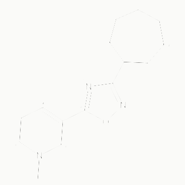 CN1CCC=C(c2nc(C3CCCCCC3)no2)C1